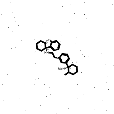 CN[C@@]1(c2cccc(CCN[C@@]3(c4ccccc4Cl)CCCCC3=O)c2)CCCCC1C